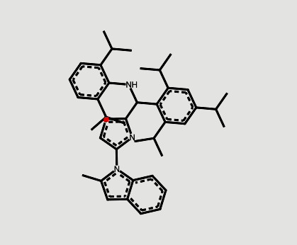 Cc1cc2ccccc2n1-c1csc(C(Nc2c(C(C)C)cccc2C(C)C)c2c(C(C)C)cc(C(C)C)cc2C(C)C)n1